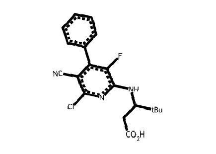 CC(C)(C)C(CC(=O)O)Nc1nc(Cl)c(C#N)c(-c2ccccc2)c1F